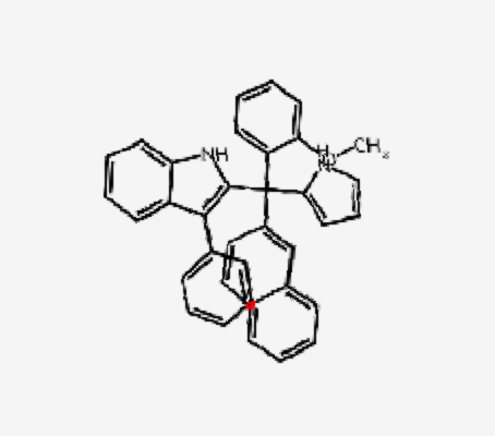 COc1ccccc1C(c1ccc2ccccc2c1)(c1ccc[nH]1)c1[nH]c2ccccc2c1-c1ccccc1